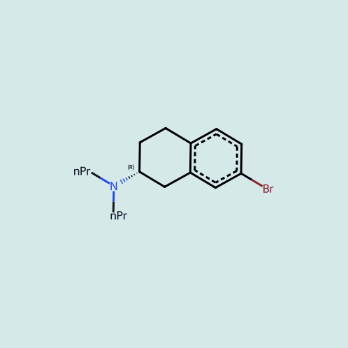 CCCN(CCC)[C@@H]1CCc2ccc(Br)cc2C1